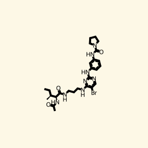 CC[C@H](C)[C@H](NC(C)=O)C(=O)NCCCNc1nc(Nc2cccc(NC(=O)N3CCCC3)c2)ncc1Br